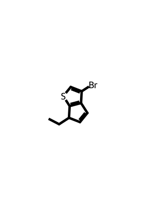 CCC1C=Cc2c(Br)csc21